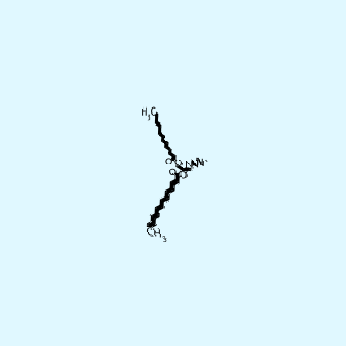 CCCCCCCCCCCCCC(=O)OC(CN=[N+]=[N-])COC(=O)CCCCCCCCCCCC